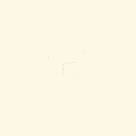 CCC1COOC1CC